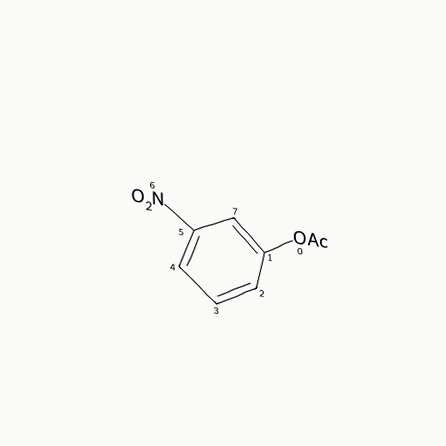 CC(=O)Oc1cccc([N+](=O)[O-])c1